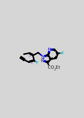 C#C/C=C(F)\C(=C/C)Cn1nc(C(=O)OCC)c2cc(F)cnc21